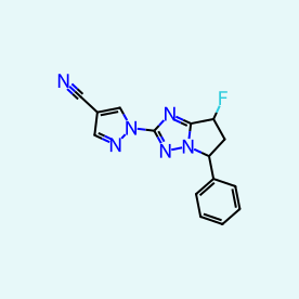 N#Cc1cnn(-c2nc3n(n2)C(c2ccccc2)CC3F)c1